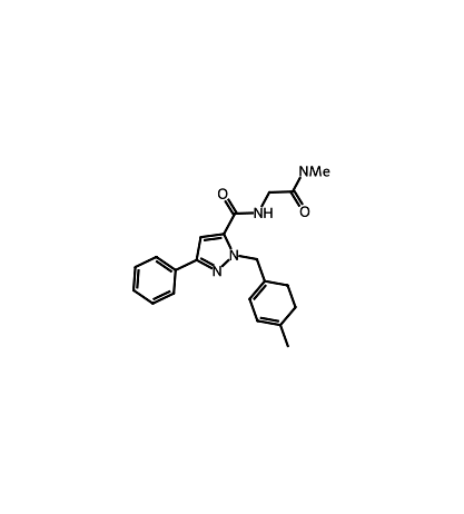 CNC(=O)CNC(=O)c1cc(-c2ccccc2)nn1CC1=CC=C(C)CC1